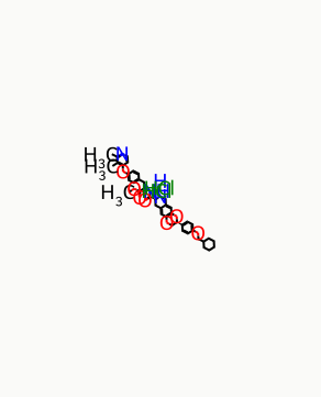 COC(=O)C(Cc1ccc(Oc2ccnc(C)c2C)cc1)NC(=O)[C@@H]1Cc2cc3c(cc2CN1)O[C@@H](c1ccc(OCC2CCCCC2)cc1)CO3.Cl.Cl